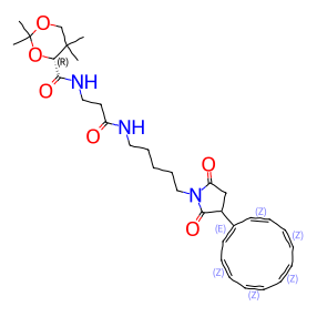 CC1(C)OCC(C)(C)[C@H](C(=O)NCCC(=O)NCCCCCN2C(=O)CC(C3=C/C=C\C=C/C=C\C=C/C=C\3)C2=O)O1